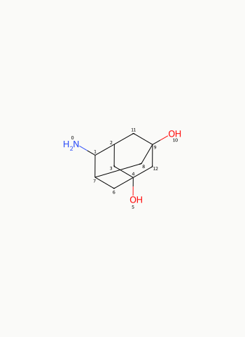 NC1C2CC3(O)CC1CC(O)(C2)C3